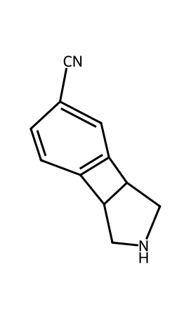 N#Cc1ccc2c(c1)C1CNCC21